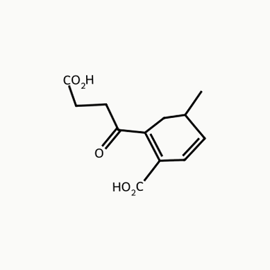 CC1C=CC(C(=O)O)=C(C(=O)CCC(=O)O)C1